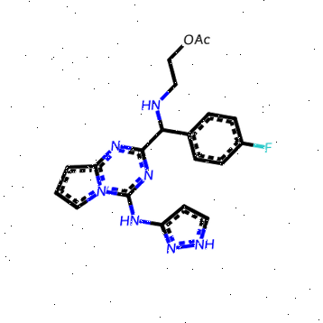 CC(=O)OCCNC(c1ccc(F)cc1)c1nc(Nc2cc[nH]n2)n2cccc2n1